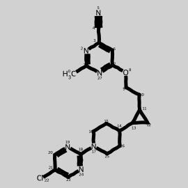 Cc1nc(C#N)cc(OCCC2CC2C2CCN(c3ncc(Cl)cn3)CC2)n1